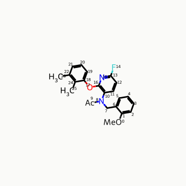 COc1ccccc1CN(C(C)=O)c1ccc(F)nc1Oc1cccc(C)c1C